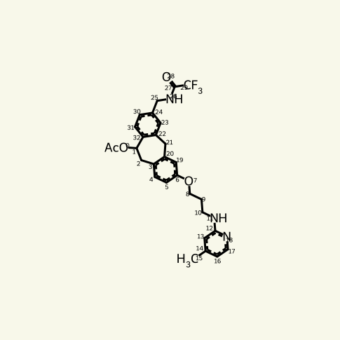 CC(=O)OC1Cc2ccc(OCCCNc3cc(C)ccn3)cc2Cc2cc(CNC(=O)C(F)(F)F)ccc21